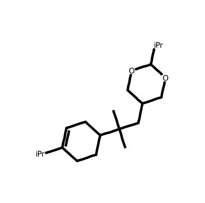 CC(C)C1=CCC(C(C)(C)CC2COC(C(C)C)OC2)CC1